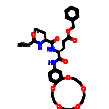 CCCCCCCCCC(=O)N[C@@H](CC(C)C)C(=O)N[C@H](CCC(=O)OCc1ccccc1)C(=O)Nc1ccc2c(c1)OCCOCCOCCOCCO2